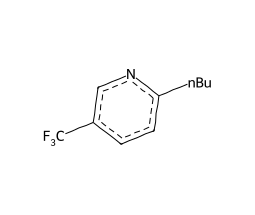 [CH2]CCCc1ccc(C(F)(F)F)cn1